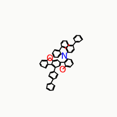 c1ccc(-c2ccc(-c3c4oc5cccc(N(c6ccc(-c7ccccc7)cc6)c6ccccc6-c6ccccc6)c5c4cc4oc5ccccc5c34)cc2)cc1